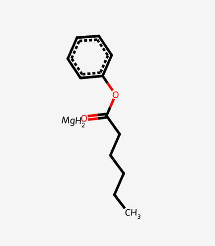 CCCCCC(=O)Oc1ccccc1.[MgH2]